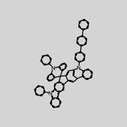 C1=C2C(=CC3=CC1c1ccccc1N3c1ccc(-c3ccc(-c4ccccc4)cc3)cc1)C1(c3cc4c(cc32)c2ccccc2n4-c2ccccc2)c2ccccc2N(c2ccccc2)c2ccccc21